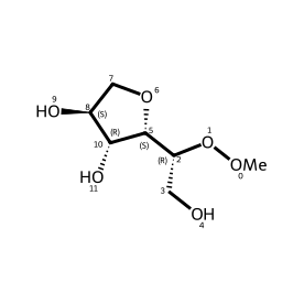 [CH2]OO[C@H](CO)[C@H]1OC[C@H](O)[C@H]1O